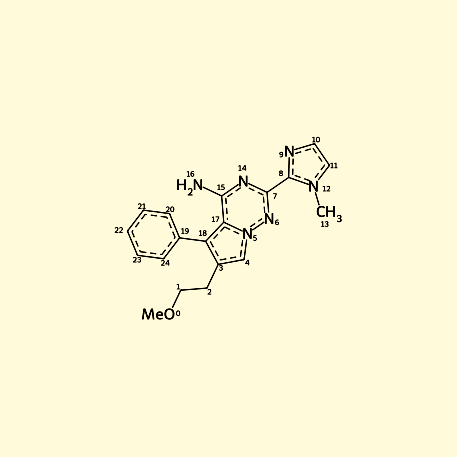 COCCc1cn2nc(-c3nccn3C)nc(N)c2c1-c1ccccc1